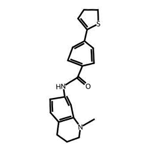 CN1CCCc2ccc(NC(=O)c3ccc(C4=CCCS4)cc3)cc21